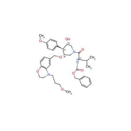 COCCCN1CCOc2ccc(CO[C@H]3CN(C(=O)[C@@H](NC(=O)OCc4ccccc4)C(C)C)C[C@@H](O)[C@@H]3c3ccc(OC)cc3)cc21